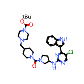 CC(C)(C)OC(=O)N1CCN(CC2CCN(C(=O)N3CCC(Nc4ncc(Cl)c(-c5c[nH]c6ccccc56)n4)C3)CC2)CC1